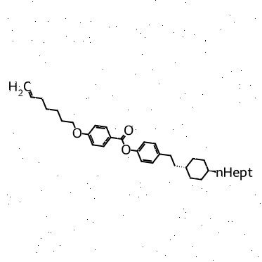 C=CCCCCCOc1ccc(C(=O)Oc2ccc(CC[C@H]3CC[C@H](CCCCCCC)CC3)cc2)cc1